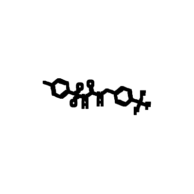 Cc1ccc(S(=O)(=O)NC(=O)NCc2ccc(C(F)(F)F)cc2)cc1